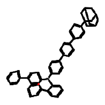 c1ccc(-c2ccc(N(c3ccc(-c4ccc(-c5ccc(C67CC8CC(CC(C8)C6)C7)cc5)cc4)cc3)c3ccccc3-c3ccccc3)cc2)cc1